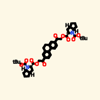 CC(C)(C)OC(=O)N1[C@H](C(=O)OCC(=O)c2ccc3c(c2)CCc2cc(C(=O)COC(=O)[C@@H]4C[C@@H]5CCC[C@@H]5N4C(=O)OC(C)(C)C)ccc2-3)C[C@@H]2CCC[C@@H]21